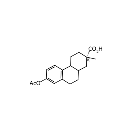 CC(=O)Oc1ccc2c(c1)CCC1C[C@@](C)(C(=O)O)CCC21